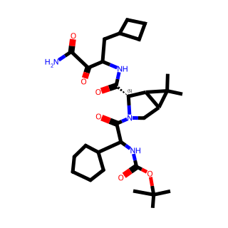 CC(C)(C)OC(=O)NC(C(=O)N1CC2C([C@H]1C(=O)NC(CC1CCC1)C(=O)C(N)=O)C2(C)C)C1CCCCC1